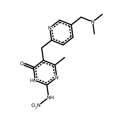 Cc1nc(N[N+](=O)[O-])[nH]c(=O)c1Cc1ccc(CN(C)C)cn1